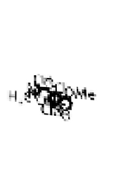 COC1CCS(=O)(=O)c2c(Cl)cc(C(=O)c3c(C)nn(C)c3O)c(Cl)c21